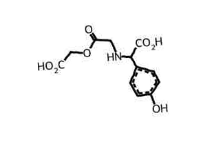 O=C(O)COC(=O)CNC(C(=O)O)c1ccc(O)cc1